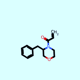 C=CC(=O)N1CCOCC1Cc1ccccc1